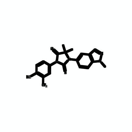 Cn1ncc2cc(N3C(=S)N(c4ccc(C#N)c(C(F)(F)F)c4)C(=O)C3(C)C)ccc21